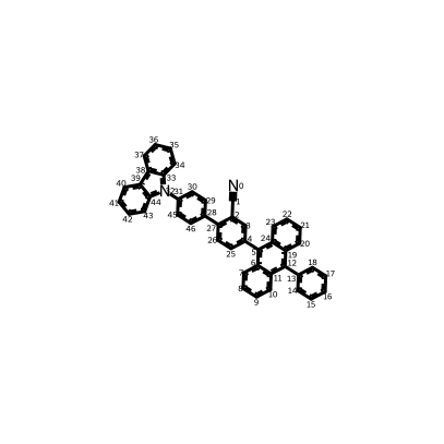 N#Cc1cc(-c2c3ccccc3c(-c3ccccc3)c3ccccc23)ccc1-c1ccc(-n2c3ccccc3c3ccccc32)cc1